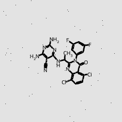 CC(Nc1nc(N)nc(N)c1C#N)c1nc2c(Cl)ccc(Cl)c2c(=O)n1-c1cc(F)cc(F)c1